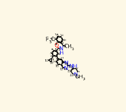 CC(NC(=O)c1ccc(C2CC2)c(-c2ccc3cnc(NC4CCN(C)CC4)nc3c2)c1)c1cccc(C(F)(F)F)c1